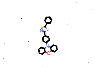 c1ccc(-c2nc(-c3ccc(N4c5ccccc5Oc5ccccc54)cc3)ns2)cc1